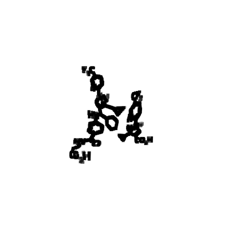 C[N+]1(c2ccc(C(F)(F)F)cn2)C=C(C(=O)O)C(C2CC2)=N1.O=C(O)CCNC(=O)c1ccc(NC(c2cn(-c3ccc(C(F)(F)F)cn3)nc2C2CC2)C2CCCCC2)cc1